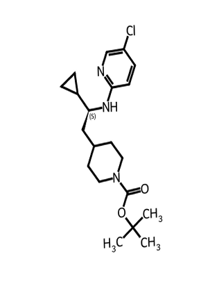 CC(C)(C)OC(=O)N1CCC(C[C@H](Nc2ccc(Cl)cn2)C2CC2)CC1